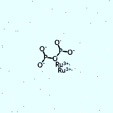 [O-]P([O-])OP([O-])[O-].[Ru+3].[Ru+3]